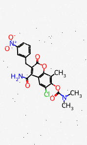 Cc1c(OC(=O)N(C)C)c(Cl)cc2c(C(N)=O)c(Cc3cccc([N+](=O)[O-])c3)c(=O)oc12